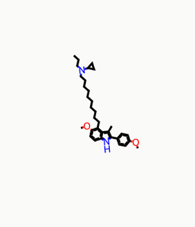 CCCN(CCCCCCCCCCc1c(OC)ccc2[nH]c(-c3ccc(OC)cc3)c(C)c12)C1CC1